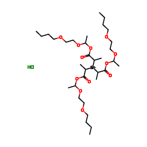 CCCCOCCOC(C)OC(=O)[CH](C)[Sn]([CH](C)C(=O)OC(C)OCCOCCCC)[CH](C)C(=O)OC(C)OCCOCCCC.Cl